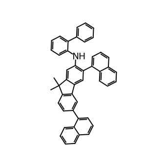 CC1(C)c2ccc(-c3cccc4ccccc34)cc2-c2cc(-c3cccc4ccccc34)c(Nc3ccccc3-c3ccccc3)cc21